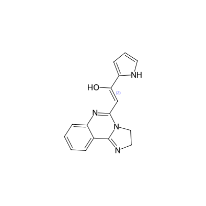 O/C(=C\C1=Nc2ccccc2C2=NCCN12)c1ccc[nH]1